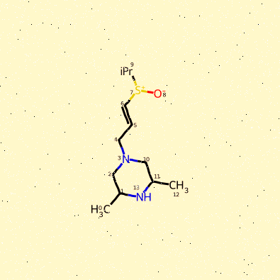 CC1CN(C/C=C/[S+]([O-])C(C)C)CC(C)N1